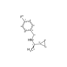 C[C@@H](NCc1ccc(F)cc1)C1CC1